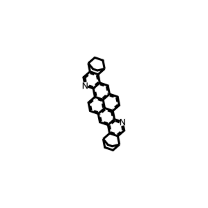 c1nc2c(cc3ccc4c5ncc6c(c5cc5ccc2c3c54)C2CCC6CC2)c2c1C1CCC2CC1